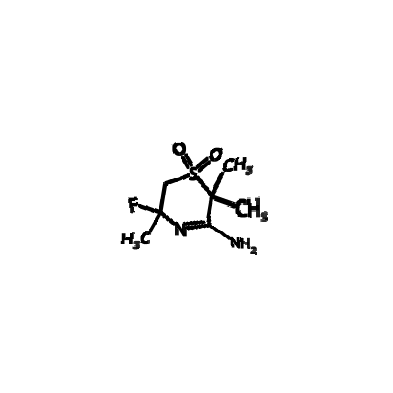 CC1(F)CS(=O)(=O)C(C)(C)C(N)=N1